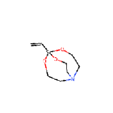 C=C[Si]12OCCN(CCO1)CCO2